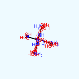 NC1C(OCCOCCOCCNC(=O)CCOCC(COCCC(=O)NCCOCCOCCOC2OC(CO)C(O)C(O)C2N)(COCCC(=O)NCCOCCOCCOC2OC(CO)C(O)C(O)C2N)NC(=O)CCCCCCCCCCC(=O)N2C[C@H](O)C[C@H]2CO)OC(CO)C(O)C1O